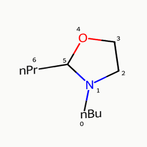 CCCCN1CCOC1CCC